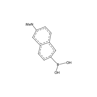 CNc1ccc2cc(B(O)O)ccc2c1